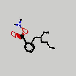 CCCCC(CC)Cc1ccccc1C(=O)ON(C)C